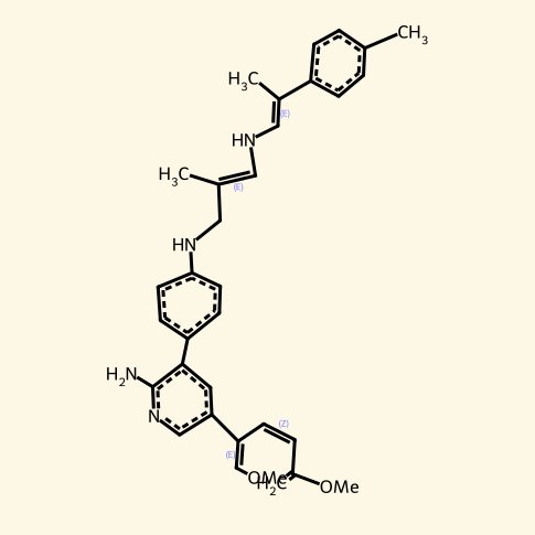 C=C(/C=C\C(=C/OC)c1cnc(N)c(-c2ccc(NC/C(C)=C/N/C=C(\C)c3ccc(C)cc3)cc2)c1)OC